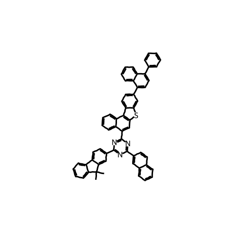 CC1(C)c2ccccc2-c2ccc(-c3nc(-c4ccc5ccccc5c4)nc(-c4cc5sc6cc(-c7ccc(-c8ccccc8)c8ccccc78)ccc6c5c5ccccc45)n3)cc21